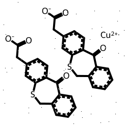 O=C([O-])Cc1ccc2c(c1)SCc1ccccc1C2=O.O=C([O-])Cc1ccc2c(c1)SCc1ccccc1C2=O.[Cu+2]